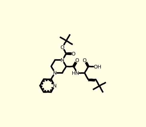 CC(C)(C)/C=C/C(NC(=O)C1CN(c2ccccn2)CCN1C(=O)OC(C)(C)C)C(=O)O